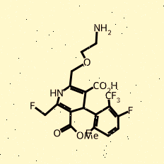 COC(=O)C1=C(CF)NC(COCCN)=C(C(=O)O)C1c1c(F)ccc(F)c1C(F)(F)F